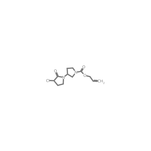 C=CCOC(=O)N1CCC(N2CCC(Cl)C2=O)C1